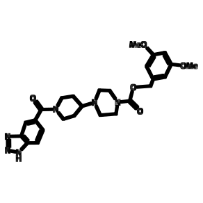 COc1cc(COC(=O)N2CCN(C3CCN(C(=O)c4ccc5[nH]nnc5c4)CC3)CC2)cc(OC)c1